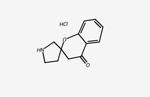 Cl.O=C1CC2(CCNC2)Oc2ccccc21